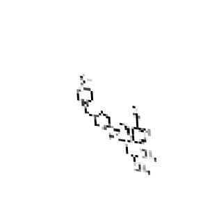 CC(C)CN(NC(=O)c1ccc(CN2CCN(C)CC2)cc1)c1ccnc(C#N)n1